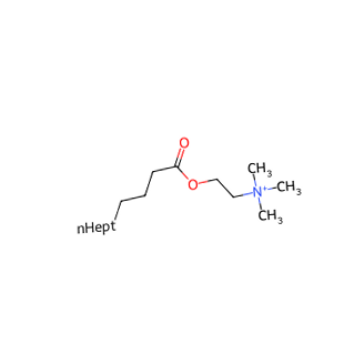 CCCCCCCCCCC(=O)OCC[N+](C)(C)C